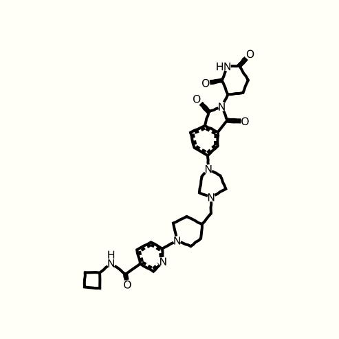 O=C1CCC(N2C(=O)c3ccc(N4CCN(CC5CCN(c6ccc(C(=O)NC7CCC7)cn6)CC5)CC4)cc3C2=O)C(=O)N1